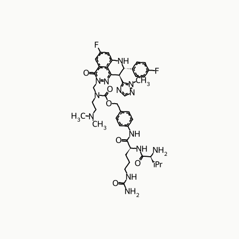 CC(C)[C@H](N)C(=O)N[C@@H](CCCNC(N)=O)C(=O)Nc1ccc(COC(=O)N(CCN(C)C)Cn2nc3c4c(cc(F)cc4c2=O)N[C@H](c2ccc(F)cc2)[C@H]3c2ncnn2C)cc1